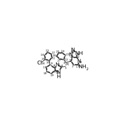 Nc1cc([C@H](Cc2nc3c(-c4ccccc4Cl)cccc3[nH]2)c2ccccc2)c2nn[nH]c2n1